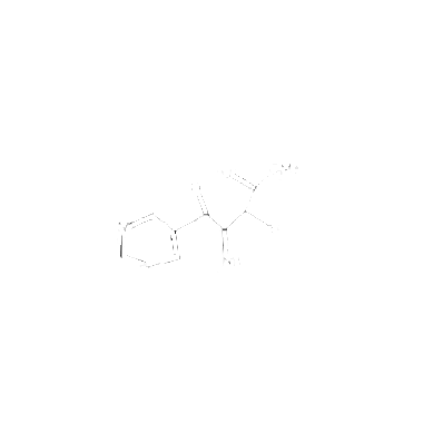 CCC(C(=N)C(=O)c1cccnc1)C(=O)OC